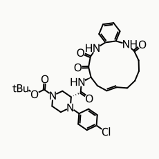 CC(C)(C)OC(=O)N1CCN(c2ccc(Cl)cc2)[C@@H](C(=O)N[C@@H]2C/C=C/CCCCC(=O)Nc3ccccc3NC(=O)C2=O)C1